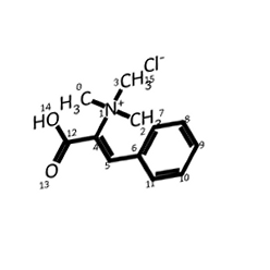 C[N+](C)(C)C(=Cc1ccccc1)C(=O)O.[Cl-]